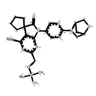 CNc1nc(CO[Si](C)(C)C(C)(C)C)nc2c1C1(CCCC1)C(=O)N2c1cnc(N2CC3CC2CO3)nc1